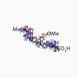 COCCOc1ccc(N2[C@@H](c3ccc4[nH]c([C@@H]5CCCN5C(=O)[C@@H](NC(=O)O)C(C)C)nc4c3)CC[C@@H]2c2ccc3[nH]c([C@@H]4CCCN4C(=O)[C@@H](NC(=O)OC)C(C)C)nc3c2)cc1